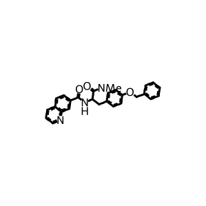 CNC(=O)C(Cc1ccc(OCc2ccccc2)cc1)NC(=O)c1ccc2cccnc2c1